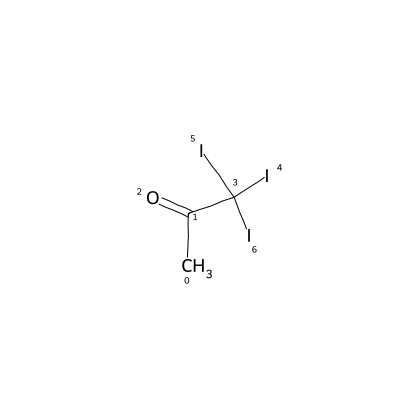 CC(=O)C(I)(I)I